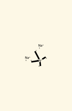 C[N+](C)(C)C.[Na+].[Na+]